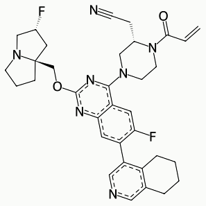 C=CC(=O)N1CCN(c2nc(OC[C@@]34CCCN3C[C@H](F)C4)nc3cc(-c4cncc5c4CCCC5)c(F)cc23)C[C@@H]1CC#N